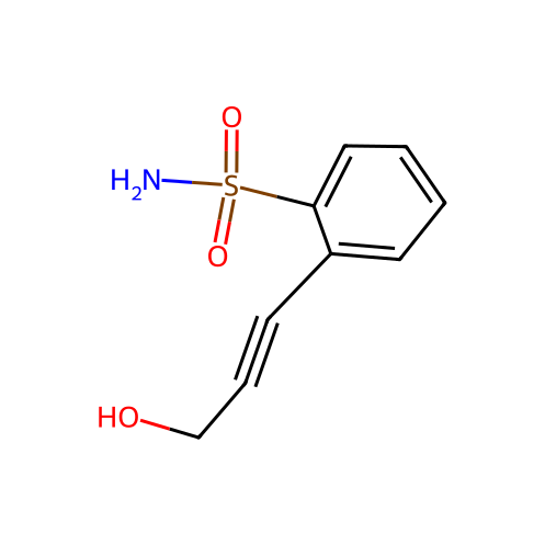 NS(=O)(=O)c1ccccc1C#CCO